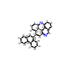 C1=CC2=Nc3cccc4cnc5c(c34)C2C(=C1)C(c1cc2ccccc2c2ccccc12)=C5